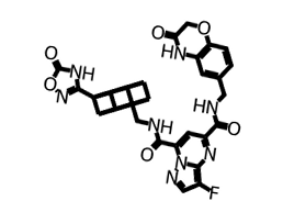 O=C1COc2ccc(CNC(=O)c3cc(C(=O)NCC45C6C7C4C4C5C6C74c4noc(=O)[nH]4)n4ncc(F)c4n3)cc2N1